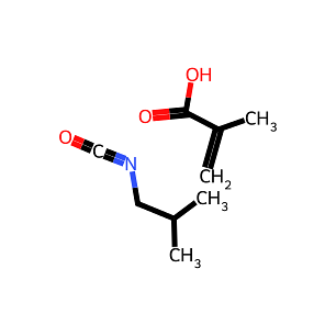 C=C(C)C(=O)O.CC(C)CN=C=O